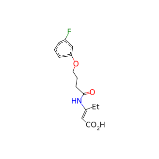 CC/C(=C\C(=O)O)NC(=O)CCCOc1cccc(F)c1